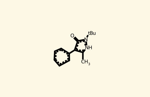 Cc1[nH]n(C(C)(C)C)c(=O)c1-c1ccccc1